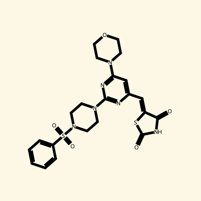 O=C1NC(=O)C(=Cc2cc(N3CCOCC3)nc(N3CCN(S(=O)(=O)c4ccccc4)CC3)n2)S1